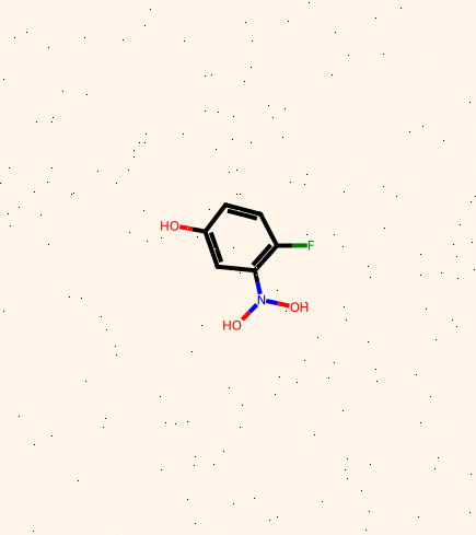 Oc1ccc(F)c(N(O)O)c1